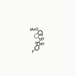 COc1ccnc2c1CCCC2[S+]([O-])c1nc2cc(F)ccc2[nH]1